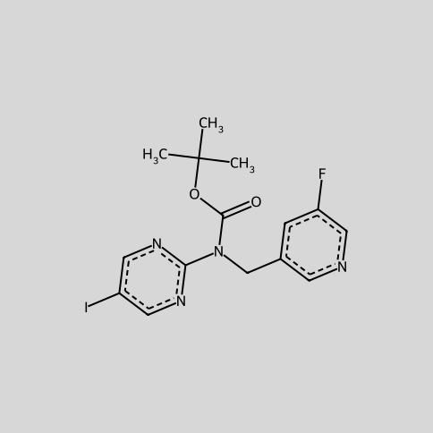 CC(C)(C)OC(=O)N(Cc1cncc(F)c1)c1ncc(I)cn1